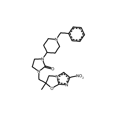 CC1(CN2CCN(C3CCN(Cc4ccccc4)CC3)C2=O)Cn2cc([N+](=O)[O-])nc2O1